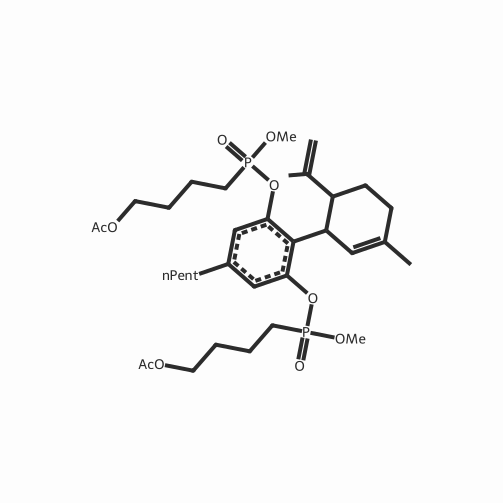 C=C(C)C1CCC(C)=CC1c1c(OP(=O)(CCCCOC(C)=O)OC)cc(CCCCC)cc1OP(=O)(CCCCOC(C)=O)OC